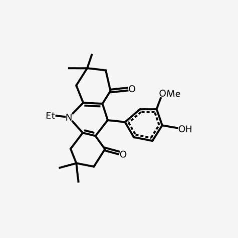 CCN1C2=C(C(=O)CC(C)(C)C2)C(c2ccc(O)c(OC)c2)C2=C1CC(C)(C)CC2=O